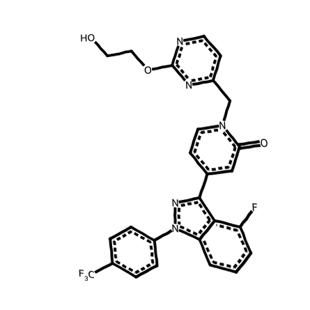 O=c1cc(-c2nn(-c3ccc(C(F)(F)F)cc3)c3cccc(F)c23)ccn1Cc1ccnc(OCCO)n1